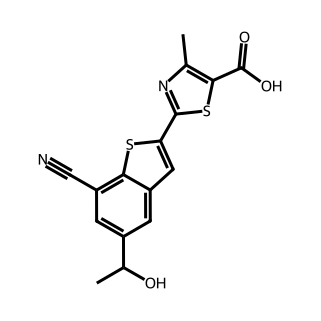 Cc1nc(-c2cc3cc(C(C)O)cc(C#N)c3s2)sc1C(=O)O